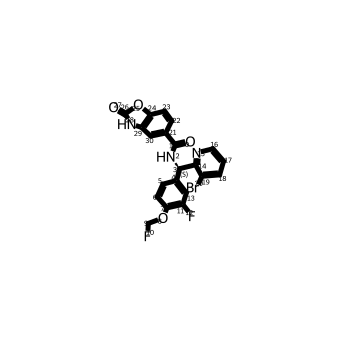 O=C(N[C@@H](c1ccc(OCF)c(F)c1)c1ncccc1Br)c1ccc2oc(=O)[nH]c2c1